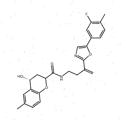 C=C(CCNC(=O)C1C[C@@H](O)c2cc(C)ccc2O1)c1ncc(-c2ccc(C)c(F)c2)o1